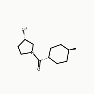 C[C@H]1CC[C@H](C(=O)N2CC[C@H](O)C2)CC1